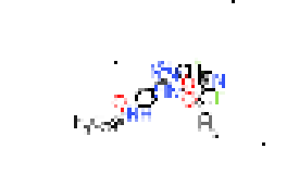 C[C@@H](OC(=O)Nc1c(-c2ccc(NC(=O)[C@@H]3C[C@H]3C(F)(F)F)cc2)nnn1C)c1cc(F)cnc1F